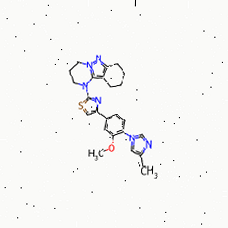 COc1cc(-c2csc(N3CCCn4nc5c(c43)CCCC5)n2)ccc1-n1cnc(C)c1